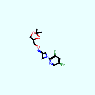 CC1(C)OCC(CON=C2CN(c3ncc(Br)cc3F)C2)O1